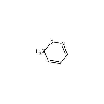 C1=C[SiH2]SN=C1